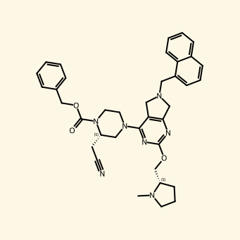 CN1CCC[C@H]1COc1nc2c(c(N3CCN(C(=O)OCc4ccccc4)[C@@H](CC#N)C3)n1)CN(Cc1cccc3ccccc13)C2